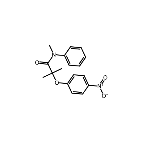 CN(C(=O)C(C)(C)Oc1ccc([N+](=O)[O-])cc1)c1ccccc1